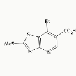 CCc1c(C(=O)O)cnc2nc(SC)sc12